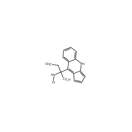 CCNC(CC=O)(C(=O)O)c1c2cccc-2[nH]c2ccccc12